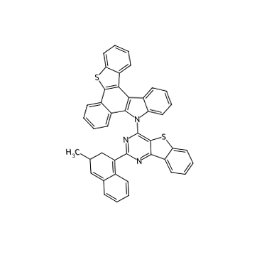 CC1C=c2ccccc2=C(c2nc(-n3c4ccccc4c4c5c6ccccc6sc5c5ccccc5c43)c3sc4ccccc4c3n2)C1